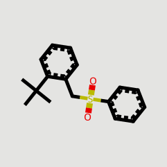 CC(C)(C)c1ccccc1CS(=O)(=O)c1ccccc1